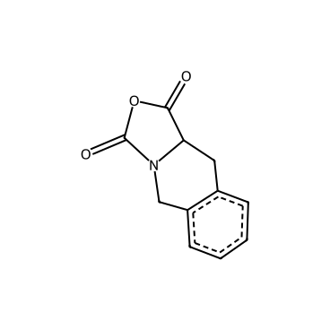 O=C1OC(=O)N2Cc3ccccc3CC12